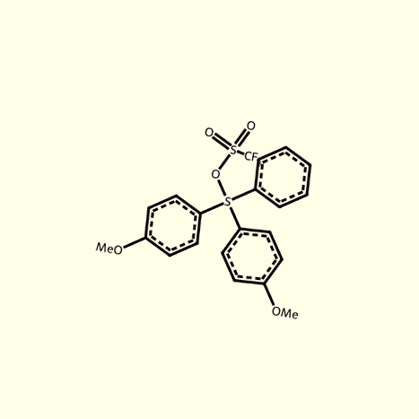 COc1ccc(S(OS(=O)(=O)C(F)(F)F)(c2ccccc2)c2ccc(OC)cc2)cc1